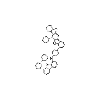 C1=CC2Sc3c(cccc3N(c3ccc(-c4cccc5c4oc4c(-c6ccccc6)c6c(cc45)oc4ccccc46)cc3)c3cccc(-c4ccccc4)c3)C2C=C1